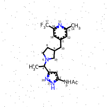 CC(=O)Nc1cc(C(C)N2CCC(Cc3cc(C)nc(C(F)(F)F)c3)C2)n[nH]1